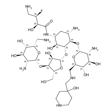 NC[C@@H](F)[C@H](O)C(=O)N[C@@H]1C[C@H](N)[C@@H](O[C@H]2O[C@H](CNCC3(O)CCNCC3)[C@@H](O)[C@H](O)[C@H]2N)[C@H](O[C@@H]2O[C@H](CO)[C@@H](O[C@H]3O[C@@H](CN)[C@@H](O)[C@H](O)[C@H]3N)[C@H]2O)[C@H]1O